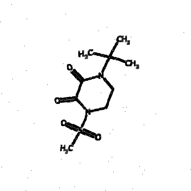 CC(C)(C)N1CCN(S(C)(=O)=O)C(=O)C1=O